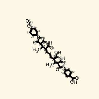 Cc1c(/C=C/C=c2/c(C)c3c([nH]c2=O)=NN(c2ccc(OC=O)cc2)C3=O)c(O)[nH]c2nn(-c3ccc(C(=O)O)cc3)c(=O)c1-2